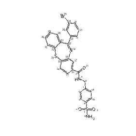 NS(=O)(=O)c1ccc(CNC(=O)c2ccc3c(c2)N=C(c2cccc(Br)c2)c2ccccc2S3)cc1